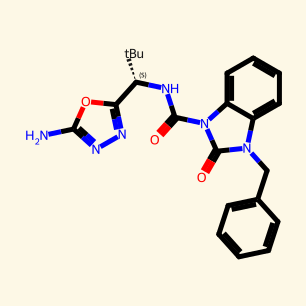 CC(C)(C)[C@H](NC(=O)n1c(=O)n(Cc2ccccc2)c2ccccc21)c1nnc(N)o1